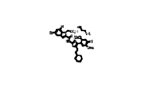 CCc1cc(CC)c2c(c1)cc(C(=O)Nc1nc(-c3cc(OC)c(Cl)cc3OC)c(CCC3CCCCC3)s1)n2CC(=O)O.NCCO